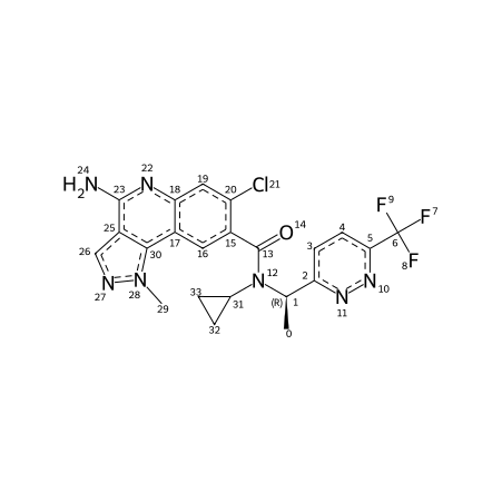 C[C@H](c1ccc(C(F)(F)F)nn1)N(C(=O)c1cc2c(cc1Cl)nc(N)c1cnn(C)c12)C1CC1